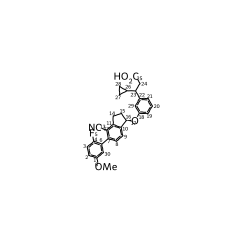 COc1ccc(F)c(-c2ccc3c(c2C#N)CC[C@H]3Oc2cccc(C(CC(=O)O)C3CC3)c2)c1